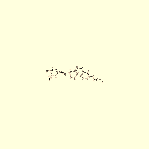 CCCc1ccc2c(c1)CCc1cc(C#Cc3ccc(F)c(F)c3)ccc1-2